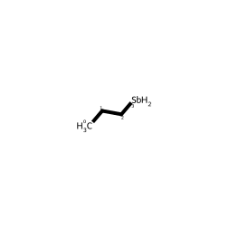 CC[CH2][SbH2]